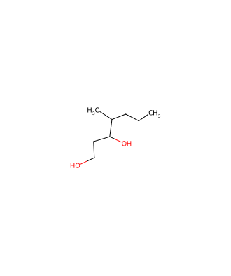 CCCC(C)C(O)CCO